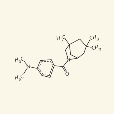 CN(C)c1ccc(C(=O)N2CC3(C)CC2CC(C)(C)C3)cc1